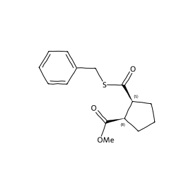 COC(=O)[C@@H]1CCC[C@@H]1C(=O)SCc1ccccc1